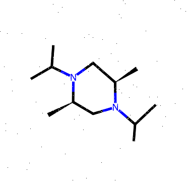 CC(C)N1C[C@@H](C)N(C(C)C)C[C@H]1C